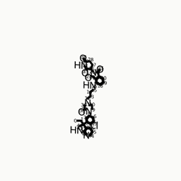 CCC1(c2cccc(N3CCN(CCCCNc4cccc5c4C(=O)N(C4CCC(=O)NC4=O)C5=O)CC3=O)c2)CNc2nccc(Cl)c21